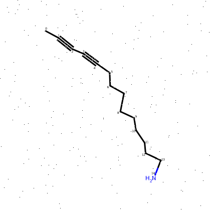 CC#CC#CCCCCCCCCCN